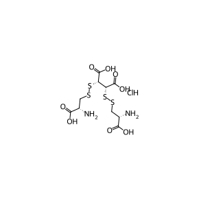 Cl.N[C@@H](CSS[C@H](C(=O)O)[C@@H](SSC[C@H](N)C(=O)O)C(=O)O)C(=O)O